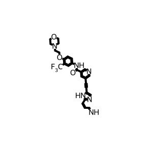 N=C/C=C\c1ncc(C#Cc2cncc(C(=O)Nc3ccc(OCCN4CCOCC4)c(C(F)(F)F)c3)c2)[nH]1